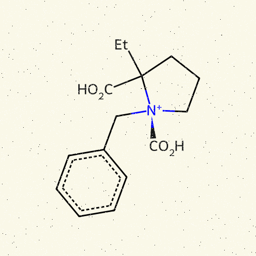 CCC1(C(=O)O)CCC[N@@+]1(Cc1ccccc1)C(=O)O